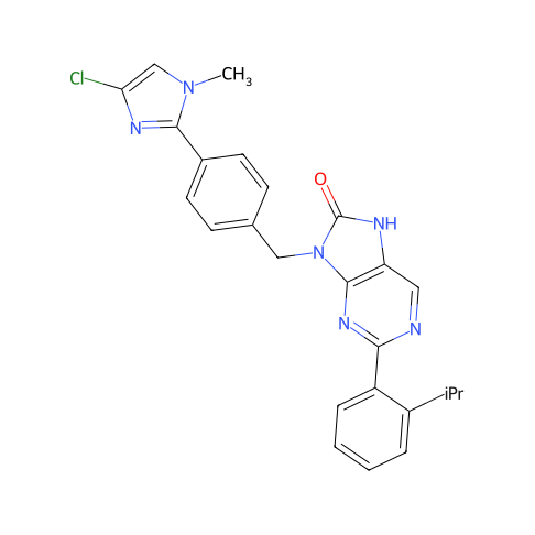 CC(C)c1ccccc1-c1ncc2[nH]c(=O)n(Cc3ccc(-c4nc(Cl)cn4C)cc3)c2n1